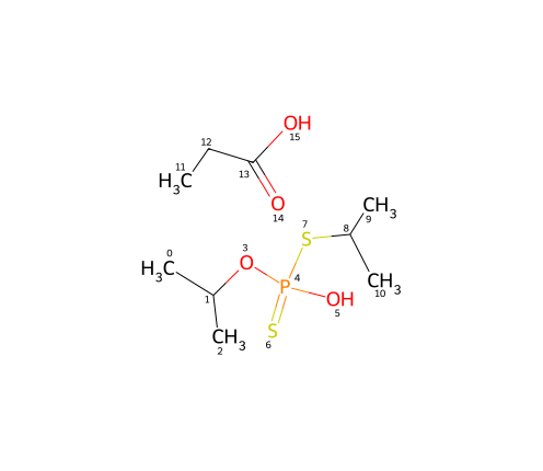 CC(C)OP(O)(=S)SC(C)C.CCC(=O)O